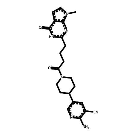 Cn1ccc2c(=O)[nH]c(CCCC(=O)N3CCC(c4cnc(N)c(C#N)c4)CC3)nc21